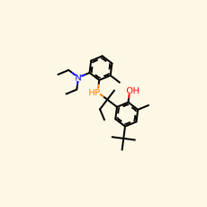 CCN(CC)c1cccc(C)c1PC(C)(CC)c1cc(C(C)(C)C)cc(C)c1O